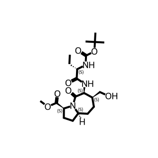 CC[C@H](NC(=O)OC(C)(C)C)C(=O)N[C@@H]1C(=O)N2[C@@H](CC[C@@H]1CO)CC[C@H]2C(=O)OC